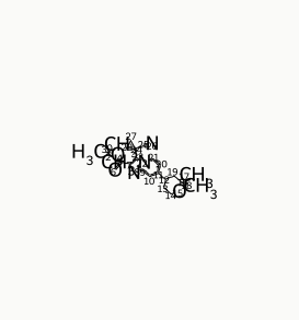 CC(C)(C)OC(=O)c1nc2cc(C3CCOC(C)(C)C3)ccn2c1C1(C#N)CC1